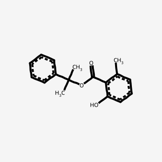 Cc1cccc(O)c1C(=O)OC(C)(C)c1ccccc1